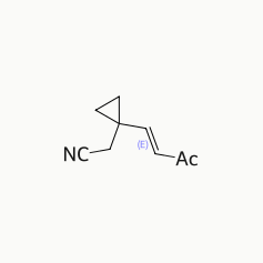 CC(=O)/C=C/C1(CC#N)CC1